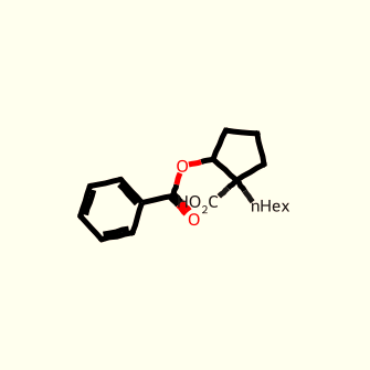 CCCCCCC1(C(=O)O)CCCC1OC(=O)c1ccccc1